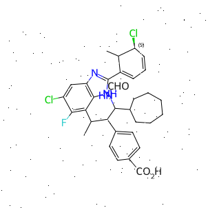 CC(c1c(F)c(Cl)cc2nc(C3=CC=C[C@H](Cl)C3C)[nH]c12)C(c1ccc(C(=O)O)cc1)C(NC=O)C1CCCCCC1